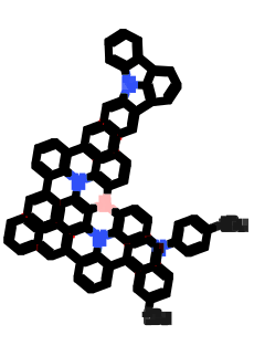 CC(C)(C)c1ccc(N(c2ccc(C(C)(C)C)cc2)c2ccc3c(c2)N(c2c(-c4ccccc4)cccc2-c2ccccc2)c2cc(-c4ccccc4)cc4c2B3c2ccc(-c3ccc5c(c3)c3cccc6c7ccccc7n5c63)cc2N4c2c(-c3ccccc3)cccc2-c2ccccc2)cc1